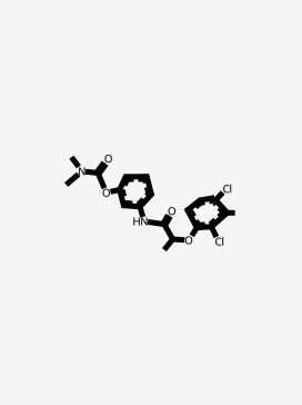 Cc1c(Cl)ccc(OC(C)C(=O)Nc2cccc(OC(=O)N(C)C)c2)c1Cl